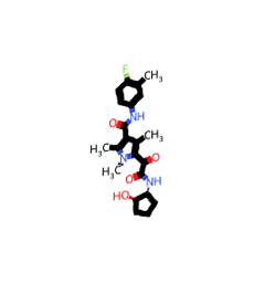 Cc1cc(NC(=O)c2c(C)c(C(=O)C(=O)N[C@@H]3CCC[C@H]3O)n(C)c2C)ccc1F